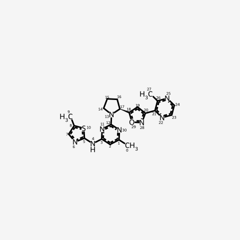 Cc1cc(Nc2ncc(C)s2)nc(N2CCC[C@H]2c2cc(-c3nccnc3C)no2)n1